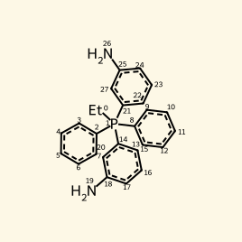 CCP(c1ccccc1)(c1ccccc1)(c1cccc(N)c1)c1cccc(N)c1